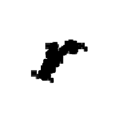 COC1(C)CCC([C@H]2COc3cc(S(=O)(=O)NC(=O)c4ccc(N5CCC6(CC5)CC(N5CCC[C@H]5c5ccccc5C(C)C)C6)cc4N4c5cc6cc[nH]c6nc5O[C@@H]5COC[C@H]54)cc([N+](=O)[O-])c3N2)CC1